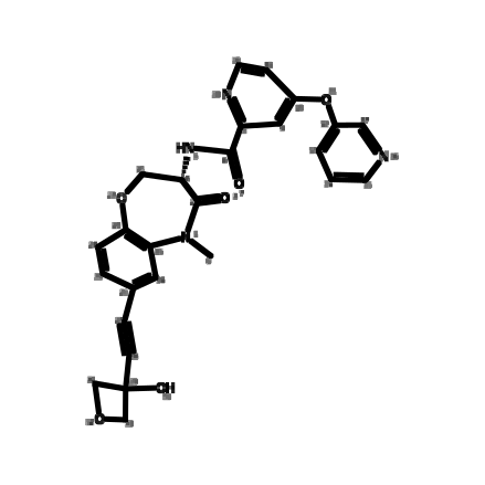 CN1C(=O)[C@@H](NC(=O)c2cc(Oc3cccnc3)ccn2)COc2ccc(C#CC3(O)COC3)cc21